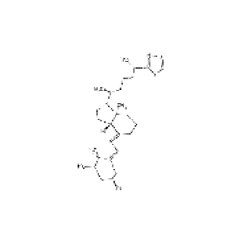 C=C1/C(=C\C=C2/CCC[C@]3(C)[C@@H]([C@@H](C)CCC[C@H](O)c4nccs4)CC[C@@H]23)C[C@@H](O)C[C@@H]1O